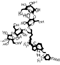 CO[C@@H]1CCC(C)(C)[C@H](CC[C@@H]2CCC[C@]3(C)C(C(C)CCCC(CO[C@@H]4OC(CO)C(O[C@@H]5OC(CO)[C@@H](O)[C@H](O)C5O)[C@H](O)C4O)CO[C@@H]4OC(CO)[C@@H](O[C@H]5OC(CO)[C@@H](O)[C@H](O)C5O)[C@H](O)C4O)CC[C@@H]23)C1